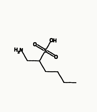 CCCCC(CN)S(=O)(=O)O